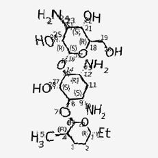 CC[C@@H]1CC[C@@H](C)[C@@H](OC2[C@@H](N)C[C@@H](N)[C@H](O[C@H]3O[C@H](CO)[C@@H](O)[C@H](N)[C@H]3O)[C@H]2O)O1